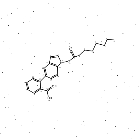 CCCCCCCC(=O)On1ccc2cc(-c3ccccc3C(=O)O)ccc21